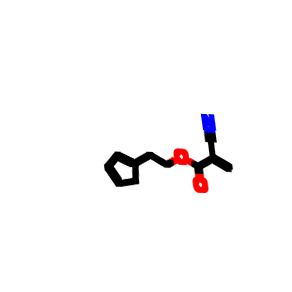 C=C(C#N)C(=O)OCCC1=CC=CC1